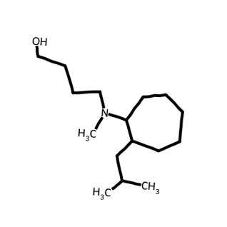 CC(C)CC1CCCCCC1N(C)CCCCO